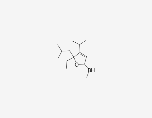 CBC1C=C(C(C)C)C(CC)(CC(C)C)O1